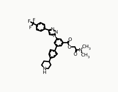 CN(C)C(=O)COC(=O)c1cc(-c2ccc(C3CCNCC3)cc2)cc(-n2cc(-c3ccc(C(F)(F)F)cc3)nn2)c1